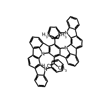 CC(C)c1c2c3cccc4c5ccc6c7ccccc7n(-c7ccccc7)c6c5n(c2c(C(C)C)c2c5cccc6c7ccc8c9ccccc9n(-c9ccccc9)c8c7n(c12)c65)c43